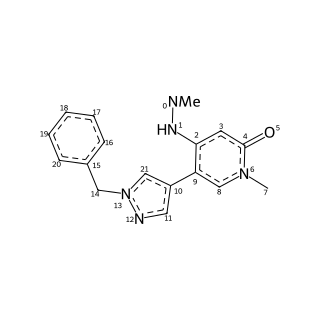 CNNc1cc(=O)n(C)cc1-c1cnn(Cc2ccccc2)c1